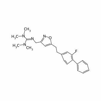 CN(C)C(=NCc1cc(CCc2ccc(-c3ccccc3)c(F)c2)on1)N(C)C